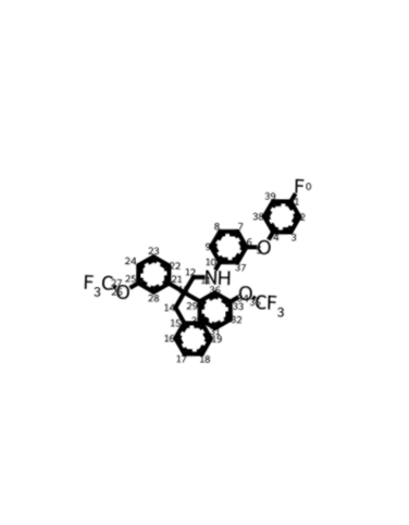 Fc1ccc(Oc2cccc(NCC(Cc3ccccc3)(c3cccc(OC(F)(F)F)c3)c3cccc(OC(F)(F)F)c3)c2)cc1